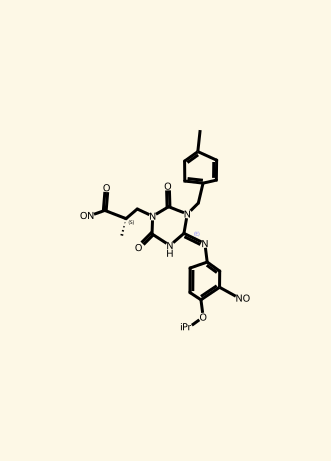 Cc1ccc(Cn2c(=O)n(C[C@H](C)C(=O)N=O)c(=O)[nH]/c2=N\c2ccc(OC(C)C)c(N=O)c2)cc1